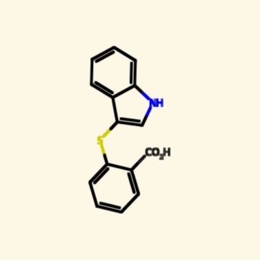 O=C(O)c1ccccc1Sc1c[nH]c2ccccc12